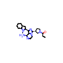 C=CC(=O)N1CC[C@H](c2nc(-c3cc4ccccc4n3C)c3c(N)nccn23)C1